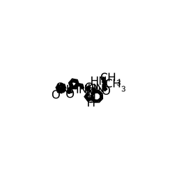 CNC(C)C(=O)N[C@H]1CCCC[C@H]2CC[C@@H](C(=O)NCc3cccc(C(=O)N4CC5CCC4C(=O)O5)c3)N2C1=O